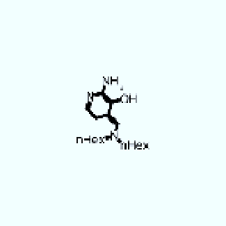 CCCCCCN(C=C1CC=NC(N)=C1O)CCCCCC